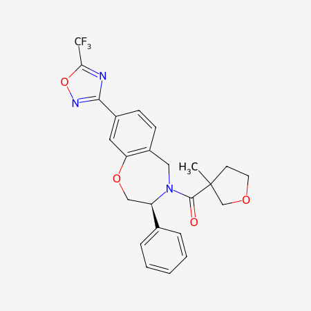 CC1(C(=O)N2Cc3ccc(-c4noc(C(F)(F)F)n4)cc3OC[C@@H]2c2ccccc2)CCOC1